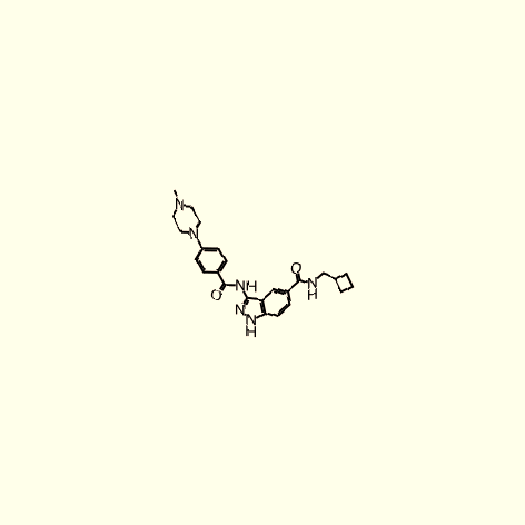 CN1CCN(c2ccc(C(=O)Nc3n[nH]c4ccc(C(=O)NCC5CCC5)cc34)cc2)CC1